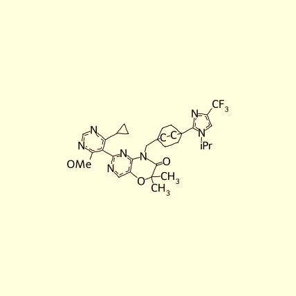 COc1ncnc(C2CC2)c1-c1ncc2c(n1)N(CC13CCC(c4nc(C(F)(F)F)cn4C(C)C)(CC1)CC3)C(=O)C(C)(C)O2